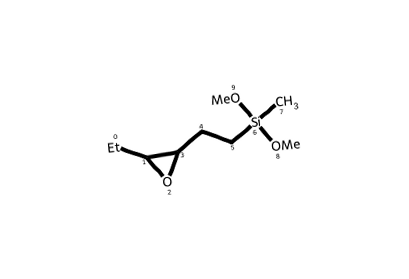 CCC1OC1CC[Si](C)(OC)OC